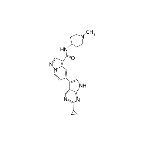 CN1CCC(NC(=O)c2cnn3ccc(-c4c[nH]c5nc(C6CC6)ncc45)cc23)CC1